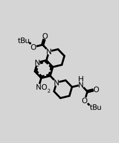 CC(C)(C)OC(=O)NC1CCCN(c2c([N+](=O)[O-])cnc3c2CCCN3C(=O)OC(C)(C)C)C1